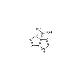 OBO.c1cc2sccc2[nH]1